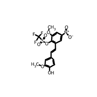 COc1cc(C=Cc2cc([N+](=O)[O-])cc(OC)c2OS(=O)(=O)C(F)(F)F)ccc1O